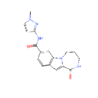 Cn1ccc(NC(=O)c2ccc3cc4n(c3c2)CCCNC4=O)n1